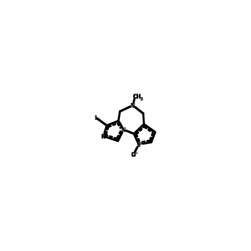 CN1Cc2cc[s+]([O-])c2-n2cnc(I)c2C1